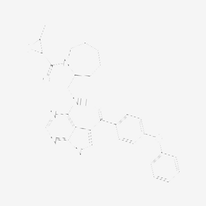 CC1OC1C(=O)N1CCCCCC1CNc1ncnc2[nH]cc(C(=O)c3ccc(Oc4ccccc4)cc3)c12